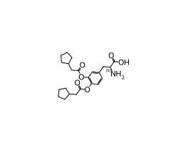 N[C@@H](Cc1ccc(OC(=O)CC2CCCC2)c(OC(=O)CC2CCCC2)c1)C(=O)O